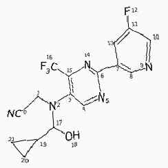 N#CCN(c1cnc(-c2cncc(F)c2)nc1C(F)(F)F)C(O)C1CC1